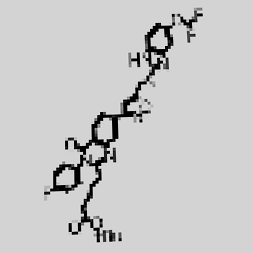 CC(C)(C)OC(=O)CCCCc1nc2cc(-c3cc(CSc4nc5cc(OC(F)F)ccc5[nH]4)on3)ccc2c(=O)n1-c1ccc(F)cc1